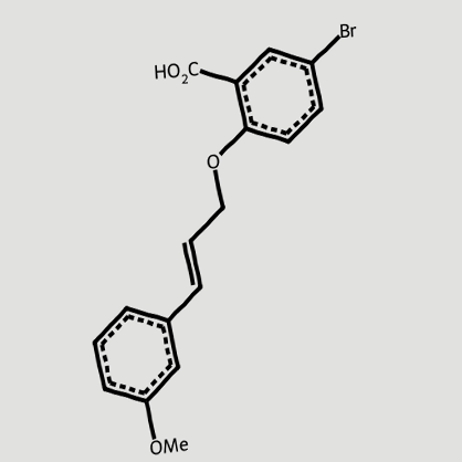 COc1cccc(/C=C/COc2ccc(Br)cc2C(=O)O)c1